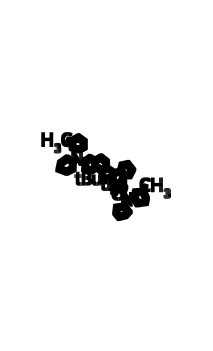 Cc1cccc(N(c2ccccc2)c2ccc3c4c(ccc3c2)-c2c(c3ccc(N(c5ccccc5)c5cccc(C)c5)cc3c3ccccc23)C4(C(C)(C)C)C(C)(C)C)c1